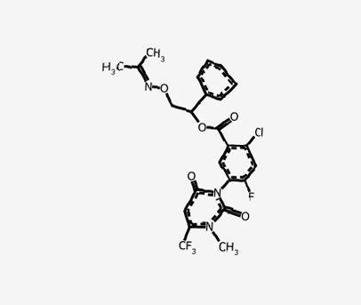 CC(C)=NOCC(OC(=O)c1cc(-n2c(=O)cc(C(F)(F)F)n(C)c2=O)c(F)cc1Cl)c1ccccc1